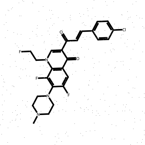 CN1CCN(c2c(F)cc3c(=O)c(C(=O)C=Cc4ccc(Cl)cc4)cn(CCF)c3c2F)CC1